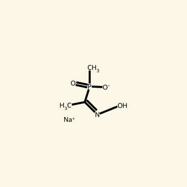 CC(=NO)P(C)(=O)[O-].[Na+]